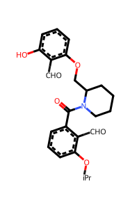 CC(C)Oc1cccc(C(=O)N2CCCCC2COc2cccc(O)c2C=O)c1C=O